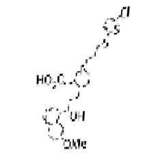 COc1ccc2nccc(C(O)CC[C@@H]3CCN(CCCSc4ccc(Cl)s4)C[C@@H]3CC(=O)O)c2c1